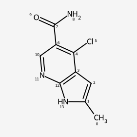 Cc1cc2c(Cl)c(C(N)=O)cnc2[nH]1